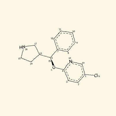 Clc1ccc(O[C@H](c2ccccc2)C2CCNC2)nc1